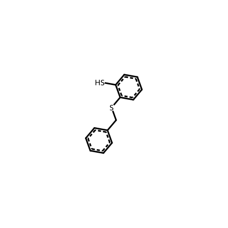 Sc1ccccc1SCc1ccccc1